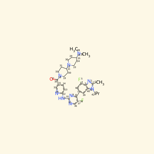 Cc1nc2c(F)cc(-c3nc(Nc4ccc(C(=O)N5CCC(N6CCC(N(C)C)CC6)CC5)cn4)ncc3F)cc2n1C(C)C